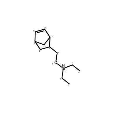 CC[SiH](CC)OCC1CC2C=CC1C2